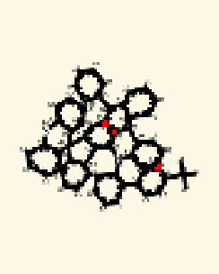 CC(C)(C)c1ccc(-c2ccccc2N(c2ccccc2-c2ccc(-c3ccccc3)c3ccccc23)c2cccc3c2-c2ccccc2C32c3ccccc3Sc3ccccc32)cc1